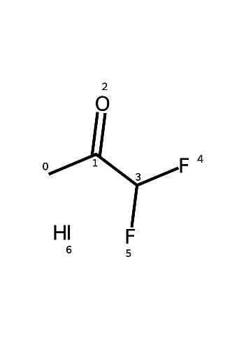 CC(=O)C(F)F.I